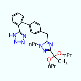 CCCOC(C)(OCCC)c1nc(Cc2ccc(-c3ccccc3-c3nnn[nH]3)cc2)n(CCC)n1